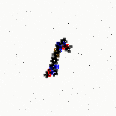 CC(C)(C)OC(=O)N1CCC[C@H]1c1ncc(-c2ccc(-c3cc4sc(-c5cnc([C@@H]6CCCN6C(=O)OC(C)(C)C)[nH]5)cc4s3)cc2)[nH]1